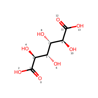 O=C(O)[C@@H](O)[C@@H](O)[C@H](O)[C@H](O)C(=O)O